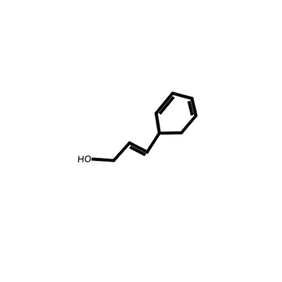 OCC=CC1C=CC=CC1